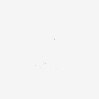 CCOC(=O)[C@@H]1CCCN(CCOCCN2c3ccccc3Sc3ccccc32)C1